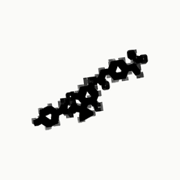 Cc1ccc(-c2noc(C3(c4c(Cl)cc(NC(=O)Cc5ccc(C(C)[SH](=O)=O)cc5)cc4Cl)CC3)n2)cc1